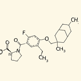 CCc1cc(C(=O)N2CCC[C@H]2C(=O)O)c(F)cc1OCC1(C)CC2CC(C)CC(C2)C1